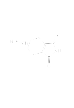 CO.O=C1NC(=O)C2=C1CCCC2